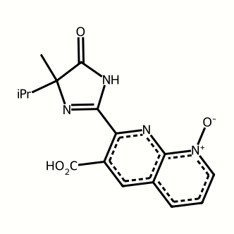 CC(C)C1(C)N=C(c2nc3c(ccc[n+]3[O-])cc2C(=O)O)NC1=O